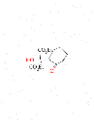 CCOC(=O)C(O)(C(=O)OCC)C1CCCCC1=O